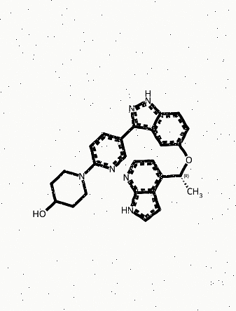 C[C@@H](Oc1ccc2[nH]nc(-c3ccc(N4CCC(O)CC4)nc3)c2c1)c1ccnc2[nH]ccc12